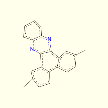 Cc1ccc2c3ccc(C)cc3c3nc4ccccc4nc3c2c1